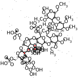 COCC1O[C@@H](O[C@H]2C(OC)C(OC)[C@@H](O[C@H]3C(OC)C(OC)[C@H](OC)O[C@H]3COC)O[C@H]2COC)C(OC)[C@@H](OC)[C@@H]1O[C@@H]1OC(COS(=O)(=O)O)[C@@H](O[C@@H]2O[C@@H](COS(=O)(=O)O)[C@@H](O[C@H]3O[C@@H](COS(=O)(=O)O)[C@@H](OSOOO)C(OSOOO)C3OSOOO)C(OSOOO)C2OS(=O)(=O)O)[C@H](OC)C1OC